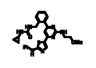 COCCNc1nc(-c2cnc(NC(C)C)s2)cc(-c2ccccc2CNC(=O)NC2CC2)n1